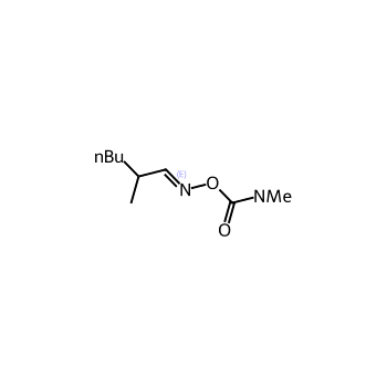 CCCCC(C)/C=N/OC(=O)NC